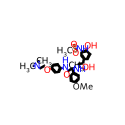 COc1ccc(C(C)(NCC(O)c2ccc(O)c(NS(C)(=O)=O)c2)C(=O)Nc2ccc(OCCN(C)C)cc2)cc1